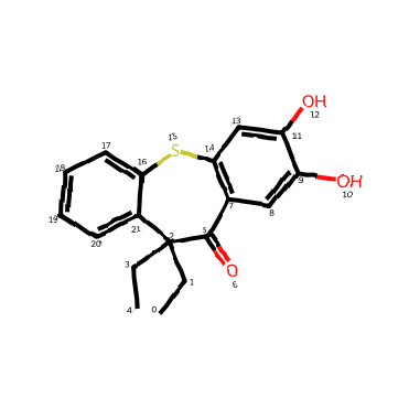 CCC1(CC)C(=O)c2cc(O)c(O)cc2Sc2ccccc21